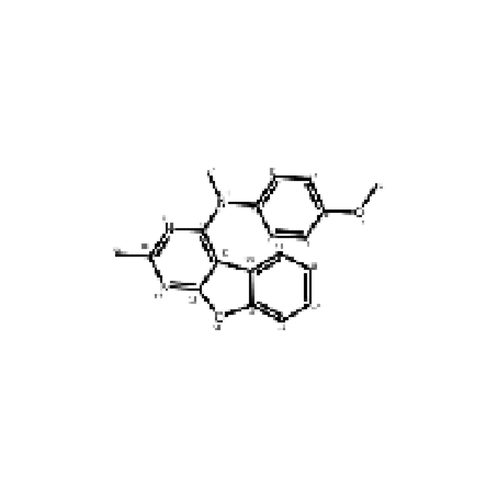 COc1ccc(N(C)c2nc(C)nc3oc4ccccc4c23)cc1